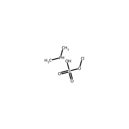 CPC.O=S(=O)(O)OCl